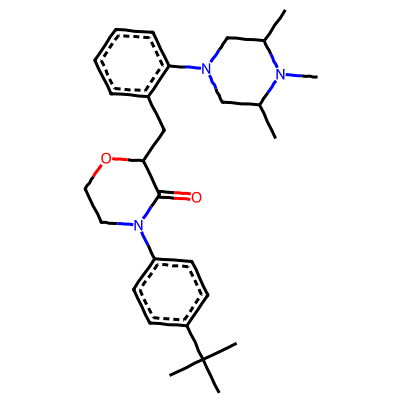 CC1CN(c2ccccc2CC2OCCN(c3ccc(C(C)(C)C)cc3)C2=O)CC(C)N1C